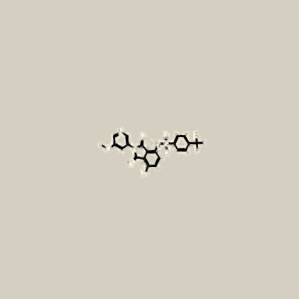 COc1cncc(N2C(=O)c3c(Cl)ccc(NS(=O)(=O)c4ccc(C(F)(F)F)cc4)c3C2=O)c1